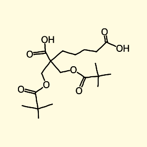 CC(C)(C)C(=O)OCC(CCCCC(=O)O)(COC(=O)C(C)(C)C)C(=O)O